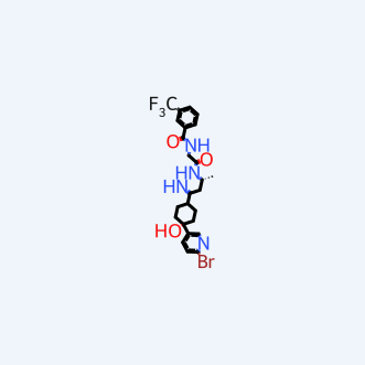 C[C@H](CC(=N)C1CCC(O)(c2ccc(Br)nc2)CC1)NC(=O)CNC(=O)c1cccc(C(F)(F)F)c1